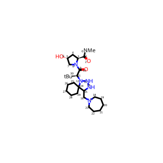 CNC(=O)[C@@H]1C[C@@H](O)CN1C(=O)[C@@H](N1NNC(CN2CCCCCC2)C12CCCCC2)C(C)(C)C